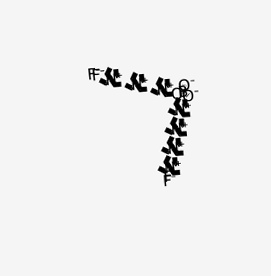 CC[N+](CC)(CC)CC.CC[N+](CC)(CC)CC.CC[N+](CC)(CC)CC.CC[N+](CC)(CC)CC.CC[N+](CC)(CC)CC.CC[N+](CC)(CC)CC.CC[N+](CC)(CC)CC.[F-].[F-].[F-].[F-].[O-]B([O-])[O-]